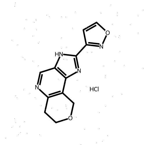 Cl.c1cc(-c2nc3c4c(ncc3[nH]2)CCOC4)no1